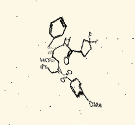 COc1ccc(S(=O)(=O)N(CC(C)C)C[C@H](O)[C@H](Cc2ccccc2)NC(=O)C2CCC(F)(F)C2)cc1